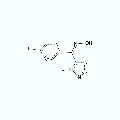 Cn1nnnc1C(=NO)c1ccc(F)cc1